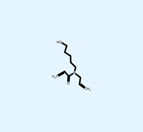 C=CCN(CCCCCO)C(=O)C=C